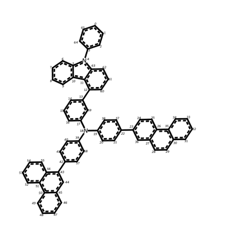 c1ccc(-n2c3ccccc3c3c(-c4cccc(N(c5ccc(-c6ccc7c(ccc8ccccc87)c6)cc5)c5ccc(-c6cc7ccccc7c7ccccc67)cc5)c4)cccc32)cc1